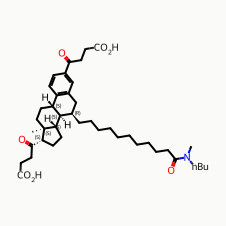 CCCCN(C)C(=O)CCCCCCCCCC[C@@H]1Cc2cc(C(=O)CCC(=O)O)ccc2[C@H]2CC[C@]3(C)[C@@H](C(=O)CCC(=O)O)CC[C@H]3[C@H]12